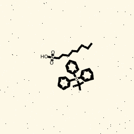 CC(C)(C)S(c1ccccc1)(c1ccccc1)c1ccccc1.CCCCCCCCS(=O)(=O)O